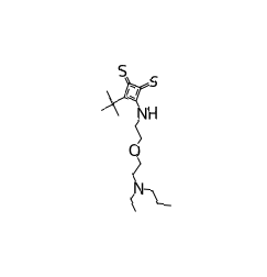 CCCN(CC)CCOCCNc1c(C(C)(C)C)c(=S)c1=S